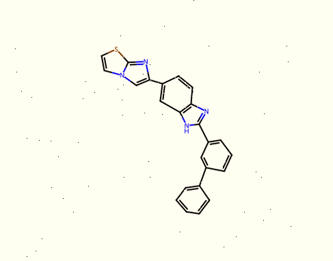 c1ccc(-c2cccc(-c3nc4ccc(-c5cn6ccsc6n5)cc4[nH]3)c2)cc1